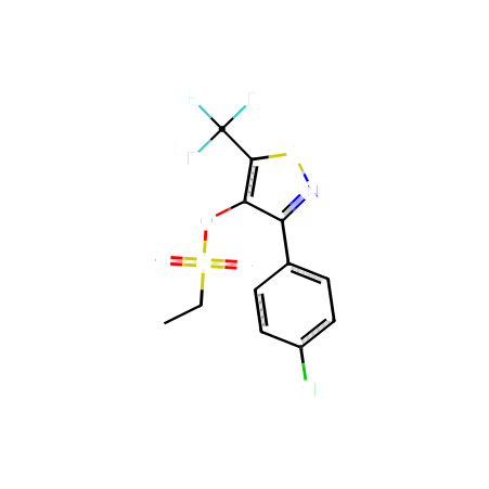 CCS(=O)(=O)Oc1c(-c2ccc(Cl)cc2)nsc1C(F)(F)F